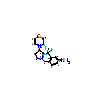 Nc1ccc(CN2CCC(N3CCOCC3)C2)c(C(F)(F)F)c1